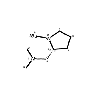 CN(C)C[C@H]1CCCN1C(C)(C)C